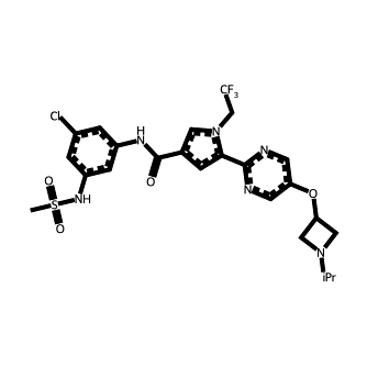 CC(C)N1CC(Oc2cnc(-c3cc(C(=O)Nc4cc(Cl)cc(NS(C)(=O)=O)c4)cn3CC(F)(F)F)nc2)C1